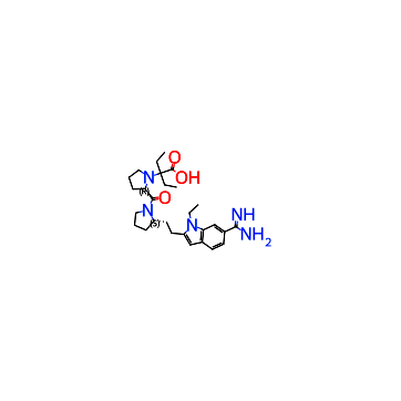 CCn1c(CC[C@@H]2CCCN2C(=O)[C@H]2CCCN2C(CC)(CC)C(=O)O)cc2ccc(C(=N)N)cc21